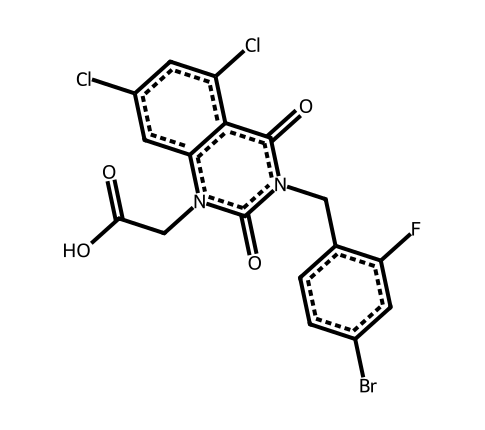 O=C(O)Cn1c(=O)n(Cc2ccc(Br)cc2F)c(=O)c2c(Cl)cc(Cl)cc21